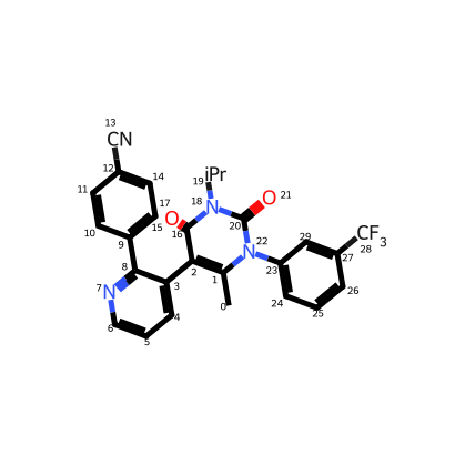 Cc1c(-c2cccnc2-c2ccc(C#N)cc2)c(=O)n(C(C)C)c(=O)n1-c1cccc(C(F)(F)F)c1